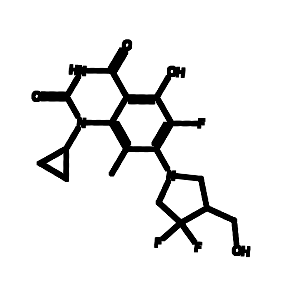 Cc1c(N2CC(CO)C(F)(F)C2)c(F)c(O)c2c(=O)[nH]c(=O)n(C3CC3)c12